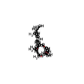 C=C1C[C@@H]2CC[C@]34CC(O)(O)C(O3)[C@@H]3O[C@H]5CC[C@H](CC(=O)O[C@@H]6CC7OC8C[C@H](C[C@@H]9O[C@@]%10(CC[C@@H]9O)C[C@H](N)[C@@H]9O[C@H]([C@@H](O)C[C@@H](O)CO)C[C@@H]9O%10)O[C@@H]8C[C@@H]7O[C@H]6C[C@H]6O[C@@H](CC[C@@H]1O2)C[C@@H](N)C6=C)O[C@@H]5[C@H](O4)[C@@H]3C